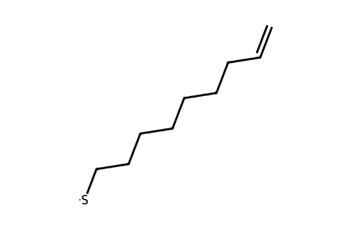 C=CCCCCCCC[S]